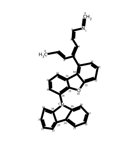 C=N\C=C/C=C(\C=C\C)c1cccc2oc3c(-n4c5ccccc5c5ccccc54)cccc3c12